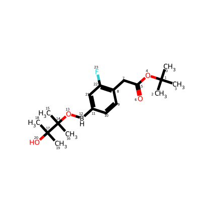 CC(C)(C)OC(=O)Cc1ccc(BOC(C)(C)C(C)(C)O)cc1F